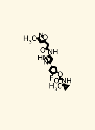 Cc1cc(CC(=O)Nc2cc([C@@H]3C[C@H](OC(=O)NC4(C)CC4)[C@@H](F)C3)n[nH]2)on1